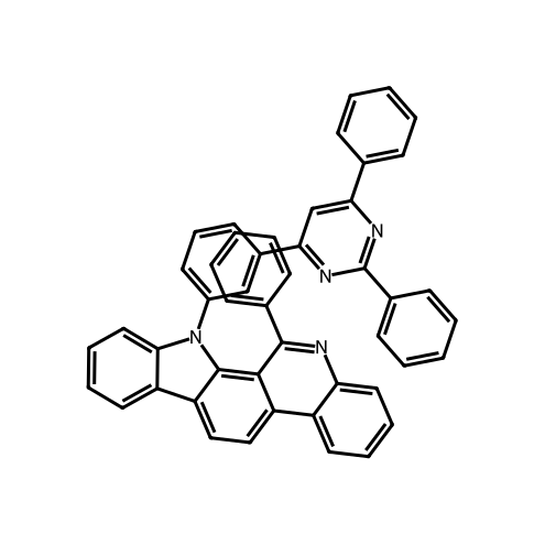 c1ccc(-c2cc(-c3cccc(-n4c5ccccc5c5ccc6c7ccccc7nc(-c7ccccc7)c6c54)c3)nc(-c3ccccc3)n2)cc1